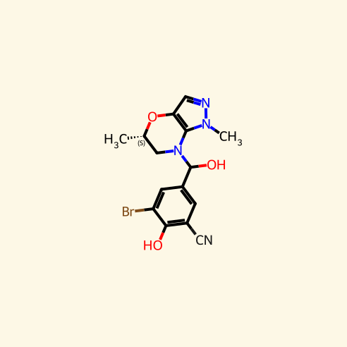 C[C@H]1CN(C(O)c2cc(Br)c(O)c(C#N)c2)c2c(cnn2C)O1